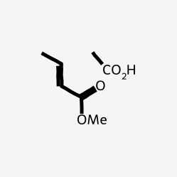 C/C=C/C(=O)OC.CC(=O)O